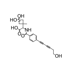 CC1(C(NC(=O)c2ccc(C#CC#CCCO)cc2)C(=O)O)CS(O)(O)C1